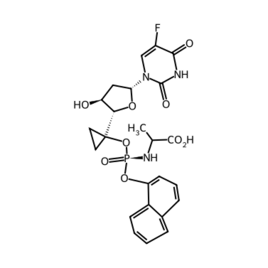 CC(N[P@](=O)(Oc1cccc2ccccc12)OC1([C@H]2O[C@@H](n3cc(F)c(=O)[nH]c3=O)C[C@@H]2O)CC1)C(=O)O